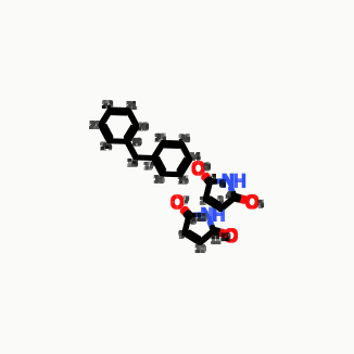 O=C1C=CC(=O)N1.O=C1C=CC(=O)N1.c1ccc(Cc2ccccc2)cc1